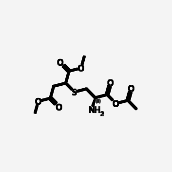 COC(=O)CC(SC[C@H](N)C(=O)OC(C)=O)C(=O)OC